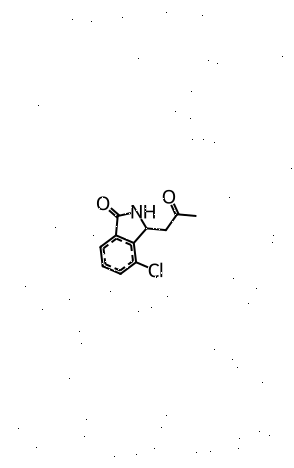 CC(=O)CC1NC(=O)c2cccc(Cl)c21